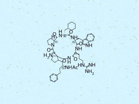 CC(=O)N[C@@H](CCc1ccccc1)C(=O)C1CCCC12CCNC(=O)[C@H](CCCNC(=N)N)NC(=O)[C@H](Cc1c[nH]c3ccccc13)NC(=O)[C@@H](CC1CCCCC1)NC(=O)[C@@H]1CCCN1C(=O)[C@H]2N